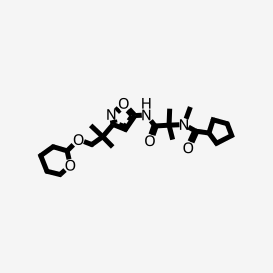 CN(C(=O)C1CCCC1)C(C)(C)C(=O)Nc1cc(C(C)(C)COC2CCCCO2)no1